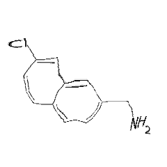 NCc1ccc2ccc(Cl)cc2c1